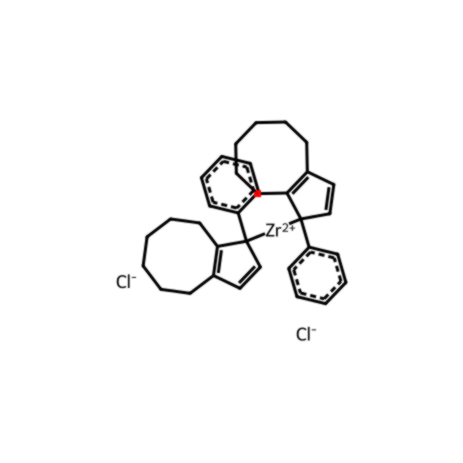 C1=C[C]([Zr+2][C]2(c3ccccc3)C=CC3=C2CCCCCC3)(c2ccccc2)C2=C1CCCCCC2.[Cl-].[Cl-]